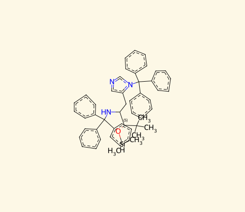 C[SiH](C)O[C@H](C(Cc1cncn1C(c1ccccc1)(c1ccccc1)c1ccccc1)NC(c1ccccc1)(c1ccccc1)c1ccccc1)C(C)(C)C